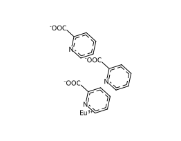 O=C([O-])c1ccccn1.O=C([O-])c1ccccn1.O=C([O-])c1ccccn1.[Eu+3]